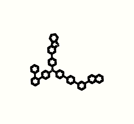 c1ccc(-c2ccccc2-c2ccc(N(c3ccc(-c4ccc(-c5cccc(-c6ccc7ccccc7c6)c5)cc4)cc3)c3ccc(-c4ccc5c(c4)sc4ccccc45)cc3)cc2)cc1